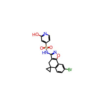 O=S(=O)(Nc1noc2c1CC1(CC1)c1ccc(Br)cc1-2)c1ccnc(O)c1